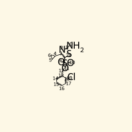 Nc1nc(C2CC2)c(S(=O)(=O)OCc2ccccc2Cl)s1